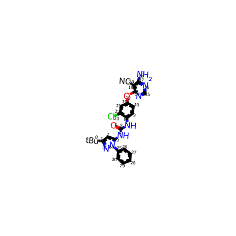 CC(C)(C)c1cc(NC(=O)Nc2ccc(Oc3ncnc(N)c3C#N)cc2Cl)n(-c2ccccc2)n1